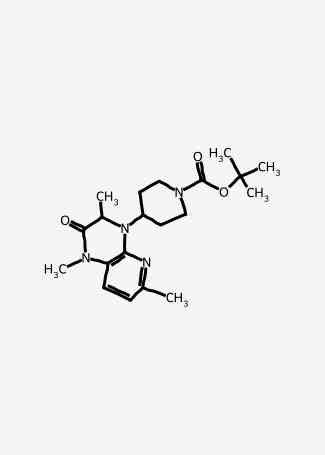 Cc1ccc2c(n1)N(C1CCN(C(=O)OC(C)(C)C)CC1)C(C)C(=O)N2C